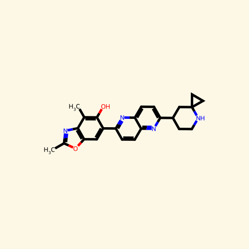 Cc1nc2c(C)c(O)c(-c3ccc4nc(C5CCNC6(CC6)C5)ccc4n3)cc2o1